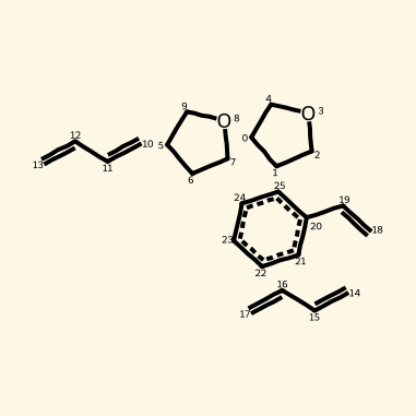 C1CCOC1.C1CCOC1.C=CC=C.C=CC=C.C=Cc1ccccc1